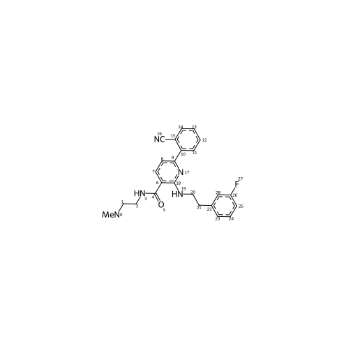 CNCCNC(=O)c1ccc(-c2ccccc2C#N)nc1NCCc1cccc(F)c1